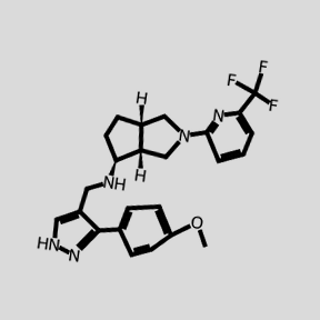 COc1ccc(-c2n[nH]cc2CN[C@H]2CC[C@@H]3CN(c4cccc(C(F)(F)F)n4)C[C@@H]32)cc1